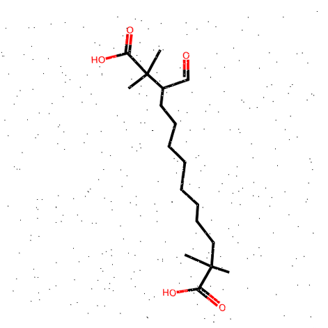 CC(C)(CCCCCCCCC(C=O)C(C)(C)C(=O)O)C(=O)O